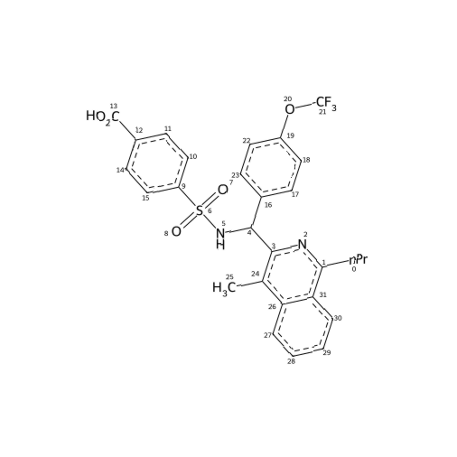 CCCc1nc(C(NS(=O)(=O)c2ccc(C(=O)O)cc2)c2ccc(OC(F)(F)F)cc2)c(C)c2ccccc12